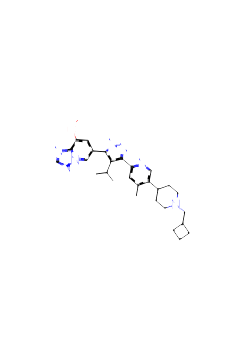 COc1cc(-c2[nH]nc(-c3cc(C)c(C4CCN(CC5CCC5)CC4)cn3)c2C(C)C)cn2ncnc12